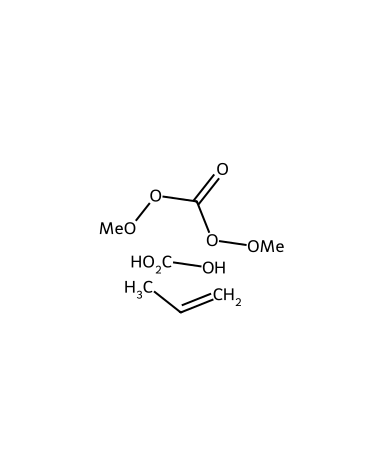 C=CC.COOC(=O)OOC.O=C(O)O